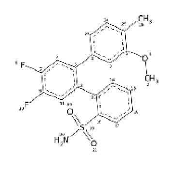 COc1cc(-c2cc(F)c(F)cc2-c2ccccc2S(N)(=O)=O)ccc1C